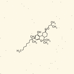 CCCCCCCC(C)(C)c1cc(O)c2c(c1)OC(C)(C)C1CC/C(=N\OCC(C)C)CC21